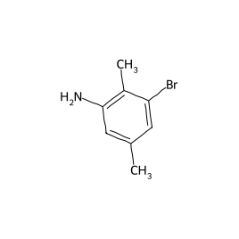 Cc1cc(N)c(C)c(Br)c1